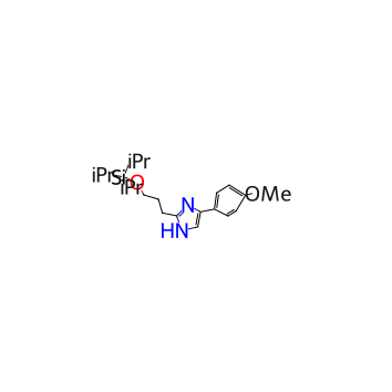 COc1ccc(-c2c[nH]c(CCCO[Si](C(C)C)(C(C)C)C(C)C)n2)cc1